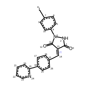 O=C1NN(c2ccc(I)cc2)C(=O)/C1=C\c1ccc(-c2ccccn2)cc1